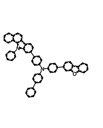 c1ccc(-c2ccc(N(c3ccc(-c4ccc5c(c4)oc4ccccc45)cc3)c3ccc(-c4ccc5c6ccc7ccccc7c6n(-c6ccccc6)c5c4)cc3)cc2)cc1